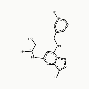 CCC[C@@H](CO)Nc1cc(NCc2ccc[n+]([O-])c2)n2ncc(Br)c2n1